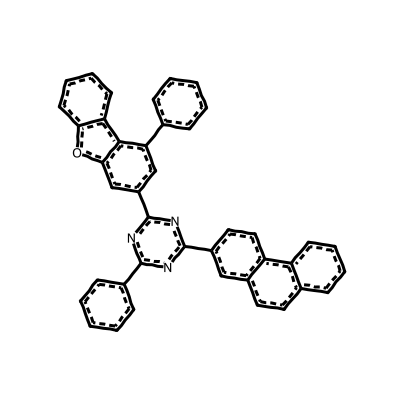 c1ccc(-c2nc(-c3ccc4c(ccc5ccccc54)c3)nc(-c3cc(-c4ccccc4)c4c(c3)oc3ccccc34)n2)cc1